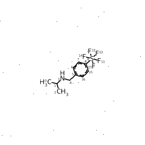 CC(C)NCc1ccc(S(F)(F)(F)(F)F)cc1